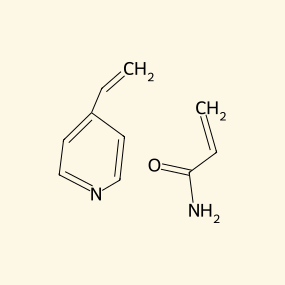 C=CC(N)=O.C=Cc1ccncc1